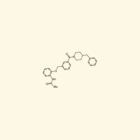 CC(C)(C)C(=O)Nc1ccccc1SCc1cccc(C(=O)N2CCC(Cc3ccccc3)CC2)c1